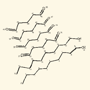 CCCCCCCCCCO.CCCCCCCCCCO.O=CCCCC=O.O=CCCCC=O.O=CCCCC=O.O=CCCCC=O